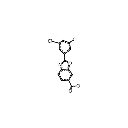 O=C(Cl)c1ccc2nc(-c3cc(Cl)cc(Cl)c3)oc2c1